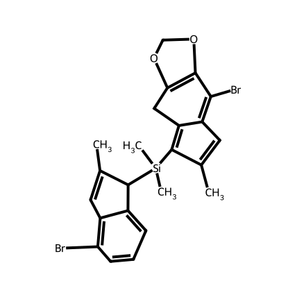 CC1=CC2=C(Br)C3=C(CC2=C1[Si](C)(C)C1C(C)=Cc2c(Br)cccc21)OCO3